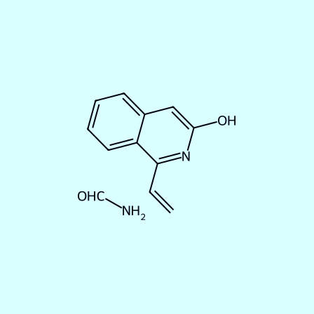 C=Cc1nc(O)cc2ccccc12.NC=O